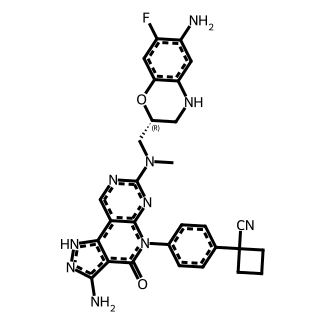 CN(C[C@H]1CNc2cc(N)c(F)cc2O1)c1ncc2c3[nH]nc(N)c3c(=O)n(-c3ccc(C4(C#N)CCC4)cc3)c2n1